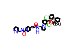 CC(C)(C)[Si](OCc1c(Cl)ccc(-n2cccc2CNC(=O)/C=C/c2ccc(C(=O)NCc3ccccn3)cc2)c1Cl)(c1ccccc1)c1ccccc1